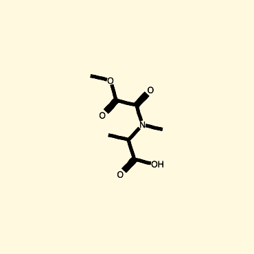 COC(=O)C(=O)N(C)C(C)C(=O)O